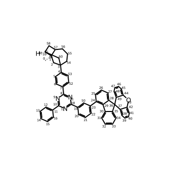 C[C@@]12CC3(c4ccc(-c5nc(-c6ccccc6)nc(-c6cccc(-c7cccc8c7-c7ccccc7C87c8ccccc8Oc8ccccc87)c6)n5)cc4)CCCC1C[C@H]2C3